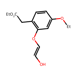 CCOC(=O)Cc1ccc(OCC)cc1OC=CO